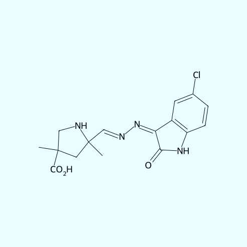 CC1(C=NN=C2C(=O)Nc3ccc(Cl)cc32)CC(C)(C(=O)O)CN1